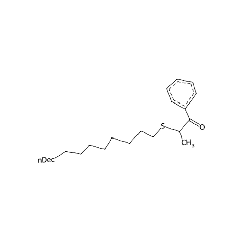 CCCCCCCCCCCCCCCCCCSC(C)C(=O)c1ccccc1